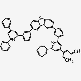 C=C/C=C(\C=C)c1cc(C2=CCC=CC=C2)nc(-c2cccc(-c3ccc4sc5ccc(-c6cccc(-c7cc(-c8ccccc8)cc(-c8ccccc8)n7)c6)cc5c4c3)c2)c1